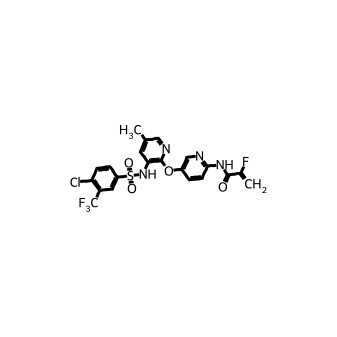 C=C(F)C(=O)Nc1ccc(Oc2ncc(C)cc2NS(=O)(=O)c2ccc(Cl)c(C(F)(F)F)c2)cn1